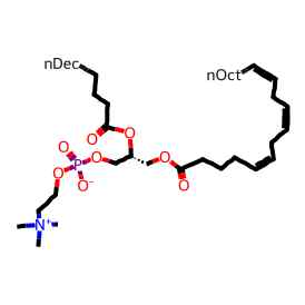 CCCCCCCC/C=C\C/C=C\C/C=C\CCCC(=O)OC[C@H](COP(=O)([O-])OCC[N+](C)(C)C)OC(=O)CCCCCCCCCCCCC